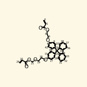 C=CC(=O)OCCOc1ccc(C2(c3ccc(OCCOCOC(=O)C=C)cc3)c3ccccc3-c3ccccc32)cc1